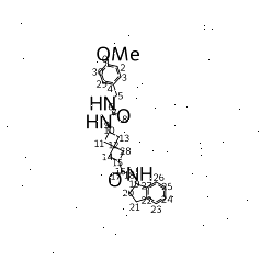 COc1ccc(CNC(=O)NC2CC3(C2)CC(C(=O)N[C@@H]2CCc4ccccc42)C3)cc1